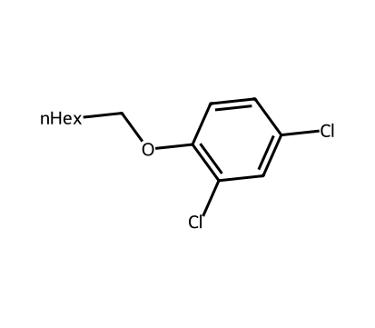 CCCCCCCOc1ccc(Cl)cc1Cl